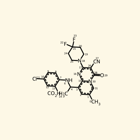 Cc1cc(C(C)Nc2ccc(Cl)cc2C(=O)O)c2nc(N3CCC(F)(F)CC3)c(C#N)c(=O)n2c1